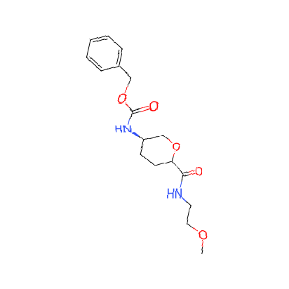 COCCNC(=O)C1CC[C@@H](NC(=O)OCc2ccccc2)CO1